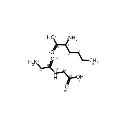 CCCCC(N)C(=O)O.NCC(=O)NCC(=O)O